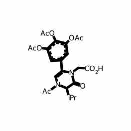 CC(=O)Oc1cc(C2=CN(C(C)=O)C(C(C)C)C(=O)N2CC(=O)O)cc(OC(C)=O)c1OC(C)=O